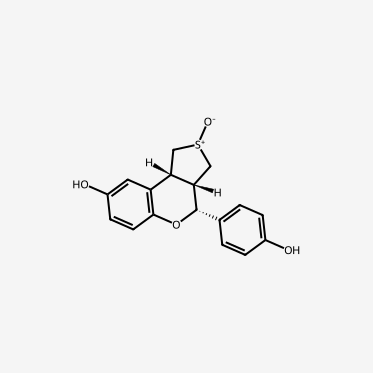 [O-][S+]1C[C@H]2[C@@H](C1)c1cc(O)ccc1O[C@H]2c1ccc(O)cc1